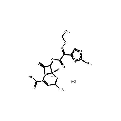 CCON=C(C(=O)NC1C(=O)N2C(C(=O)O)=CC(C)S[C@@H]12)c1csc(N)n1.Cl